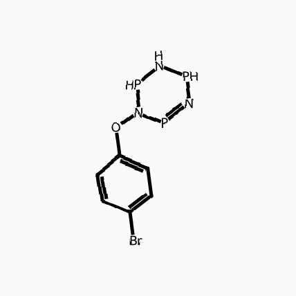 Brc1ccc(On2pn[pH][nH][pH]2)cc1